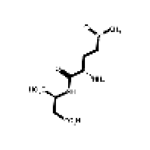 C[S+]([O-])CC[C@H](N)C(=O)N[C@@H](CC(=O)O)C(=O)O